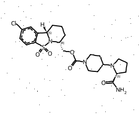 NC(=O)[C@@H]1CCCN1C1CCN(C(=O)OC[C@H]2CCC[C@H]3c4cc(Cl)ccc4S(=O)(=O)N23)CC1